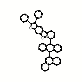 c1ccc(-c2oc3cc4oc5c(-c6c7ccccc7c(-c7cc8ccccc8c8ccccc78)c7ccccc67)cccc5c4cc3c2-c2ccccc2)cc1